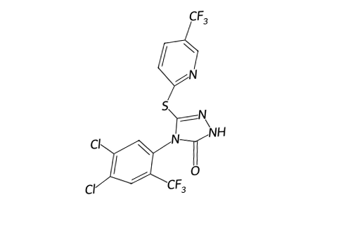 O=c1[nH]nc(Sc2ccc(C(F)(F)F)cn2)n1-c1cc(Cl)c(Cl)cc1C(F)(F)F